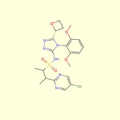 COc1cccc(OC)c1-n1c(NS(=O)(=O)C(C)C(C)c2ncc(Cl)cn2)nnc1[C@H]1CCO1